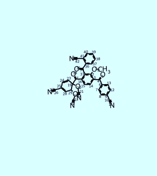 COc1c(C(=O)c2ccc(C#N)cc2)ccc(C(=O)C2(OC#N)C=CC(C#N)=CC2OC#N)c1C(=O)c1ccccc1C#N